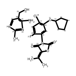 CC(C)=C1OC(=O)N(c2cc(OC3CCCC3)c(Cl)cc2F)C1=O.Cc1ncc(CO)c(N)n1